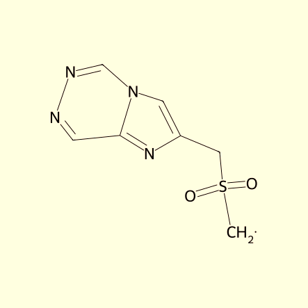 [CH2]S(=O)(=O)Cc1cn2cnncc2n1